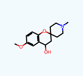 COc1ccc2c(c1)C(O)CC1(CCN(C)CC1)O2